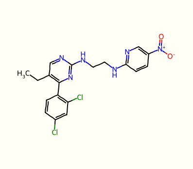 CCc1cnc(NCCNc2ccc([N+](=O)[O-])cn2)nc1-c1ccc(Cl)cc1Cl